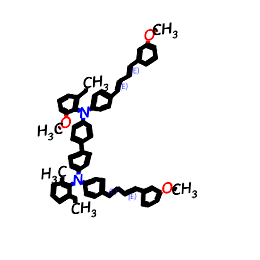 CCc1cccc(C)c1N(c1ccc(/C=C/C=C/c2cccc(OC)c2)cc1)c1ccc(-c2ccc(N(c3ccc(/C=C/C=C/c4cccc(OC)c4)cc3)c3c(CC)cccc3OC)cc2)cc1